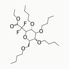 CCCCOC[C@H]1OC(C(F)(F)C(=O)OCC)[C@H](OCCCC)C(OCCCC)[C@H]1OCCCC